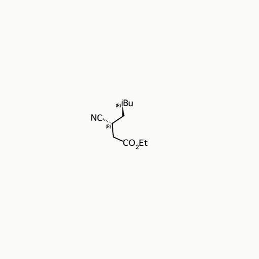 CCOC(=O)C[C@H](C#N)C[C@H](C)CC